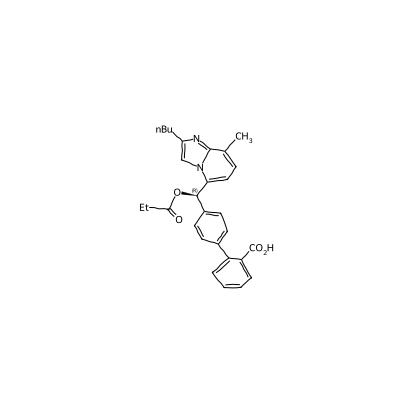 CCCCc1cn2c([C@H](OC(=O)CC)c3ccc(-c4ccccc4C(=O)O)cc3)ccc(C)c2n1